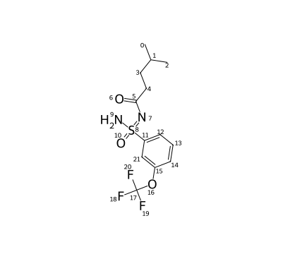 CC(C)CCC(=O)N=S(N)(=O)c1cccc(OC(F)(F)F)c1